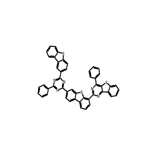 c1ccc(-c2nc(-c3ccc4c(c3)sc3c(-c5nc(-c6ccccc6)c6sc7ccccc7c6n5)cccc34)nc(-c3ccc4sc5ccccc5c4c3)n2)cc1